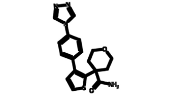 NC(=O)C1(c2sccc2-c2ccc(-n3cnnc3)cc2)CCOCC1